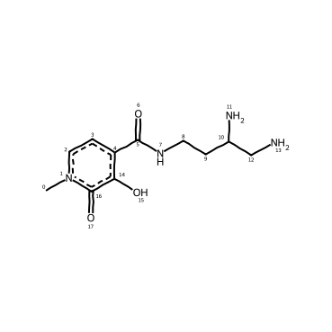 Cn1ccc(C(=O)NCCC(N)CN)c(O)c1=O